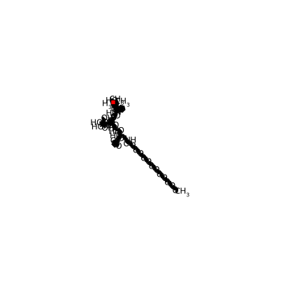 CCOCc1nc2c(NC(=O)OCc3ccc(O[C@H]4O[C@H](CO)[C@@H](O)[C@H](O)[C@@H]4O)c(NC(=O)CCNC(=O)[C@H](CCCCNC(=O)CCOCCOCCOCCOCCOCCOCCOCCOCCOCCOCCOCCOC)NC(=O)CCN4C(=O)C=CC4=O)c3)nc3ccccc3c2n1CC(C)(C)O